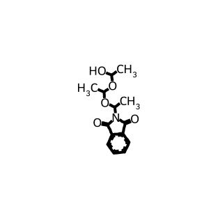 CC(O)OC(C)OC(C)N1C(=O)c2ccccc2C1=O